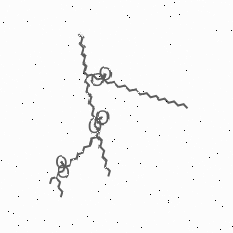 CCCCCCC/C=C/C(CCCCCCCC(=O)OCC(C=CCCCCCCC(=O)OCC(CC)CCCC)CCCCCCCC)COC(=O)CCCCCCCCCCCCCCCCC